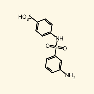 Nc1cccc(S(=O)(=O)Nc2ccc(S(=O)(=O)O)cc2)c1